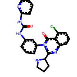 O=C(Nc1cccc(-n2c(C3CCCN3)nc3cccc(Cl)c3c2=O)c1)Nc1ccccn1